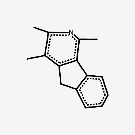 Cc1nc(C)c2c(c1C)Cc1ccccc1-2